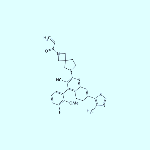 C=CC(=O)N1CC2(CCN(c3nc4c(c(-c5cccc(F)c5OC)c3C#N)CCC(c3scnc3C)=C4)C2)C1